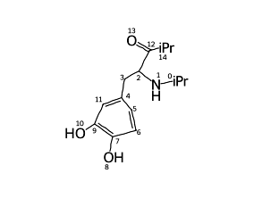 CC(C)NC(Cc1ccc(O)c(O)c1)C(=O)C(C)C